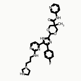 CC1(C(=O)Nc2cccnc2)COC(c2nc(-c3ccc(F)cc3)c(-c3ccnc(NCCCN4CCNC4)n3)[nH]2)OC1